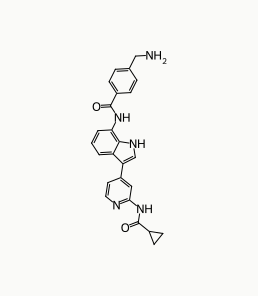 NCc1ccc(C(=O)Nc2cccc3c(-c4ccnc(NC(=O)C5CC5)c4)c[nH]c23)cc1